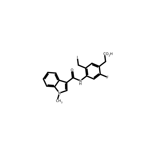 Cn1cc(C(=O)Nc2cc(F)c(CC(=O)O)cc2CI)c2ccccc21